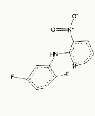 O=[N+]([O-])c1cccnc1Nc1cc(F)ccc1F